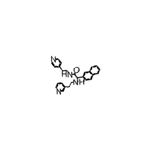 O=C(NCCc1ccncc1)C(NCCc1cccnc1)c1ccc2ccccc2c1